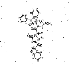 CC(C)CC(NC(=O)C(c1ccccc1)c1ccccc1)C(=O)N1CCC2C1C(=O)CN2C(=O)c1csc2ccccc12